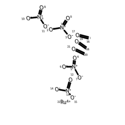 O=[N+]([O-])[O-].O=[N+]([O-])[O-].O=[N+]([O-])[O-].O=[N+]([O-])[O-].[C]=O.[C]=O.[C]=O.[Ru+4]